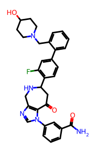 NC(=O)c1cccc(-n2cnc3c2C(=O)CC(c2ccc(-c4ccccc4CN4CCC(O)CC4)cc2F)NC3)c1